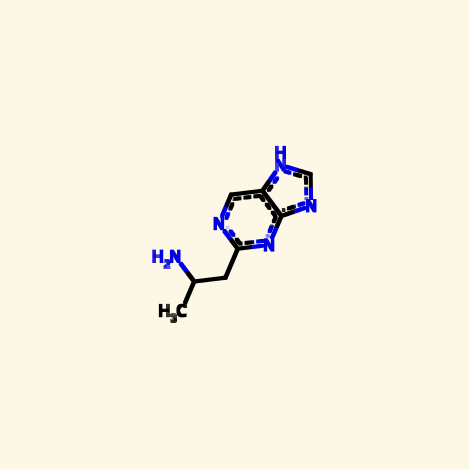 CC(N)Cc1ncc2[nH]cnc2n1